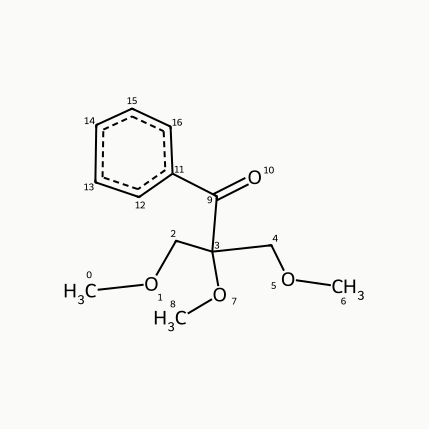 COCC(COC)(OC)C(=O)c1ccccc1